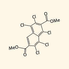 COC(=O)c1cc2c(Cl)c(Cl)c(C(=O)OC)c(Cl)c2c(Cl)c1Cl